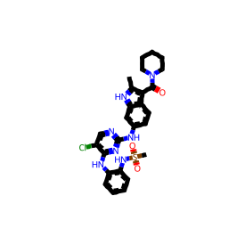 Cc1[nH]c2cc(Nc3ncc(Cl)c(Nc4ccccc4NS(C)(=O)=O)n3)ccc2c1C(=O)N1CCCCC1